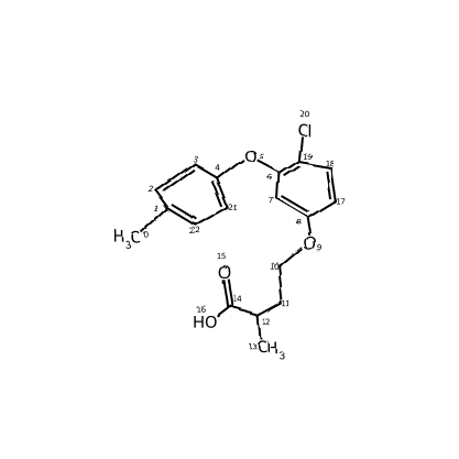 Cc1ccc(Oc2cc(OCCC(C)C(=O)O)ccc2Cl)cc1